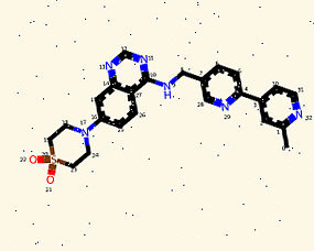 Cc1cc(-c2ccc(CNc3ncnc4cc(N5CCS(=O)(=O)CC5)ccc34)cn2)ccn1